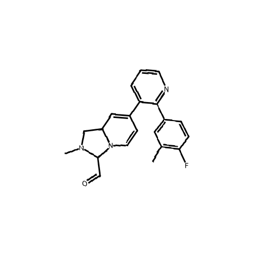 Cc1cc(-c2ncccc2C2=CC3CN(C)C(C=O)N3C=C2)ccc1F